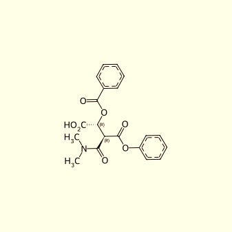 CN(C)C(=O)[C@H](C(=O)Oc1ccccc1)[C@@H](OC(=O)c1ccccc1)C(=O)O